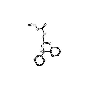 CCCCCCCCOC(=O)N=NC(=O)O[SiH](c1ccccc1)c1ccccc1